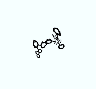 c1ccc(-c2nc(-c3ccccc3)nc(-c3ccc4cc(-c5ccccc5-c5cccc6c5ccc5ccccc56)ccc4c3)n2)cc1